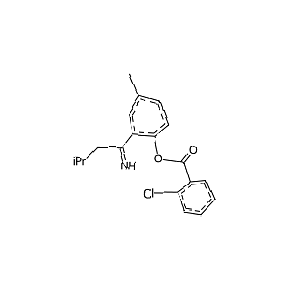 Cc1ccc(OC(=O)c2ccccc2Cl)c(C(=N)CC(C)C)c1